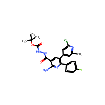 Cc1cc(-c2cc(C(=O)NNC(=O)OC(C)(C)C)c(N)nc2-c2ccc(F)cc2)cc(Cl)n1